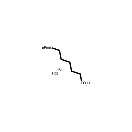 CCCCCCCCCCC(=O)O.Cl.Cl